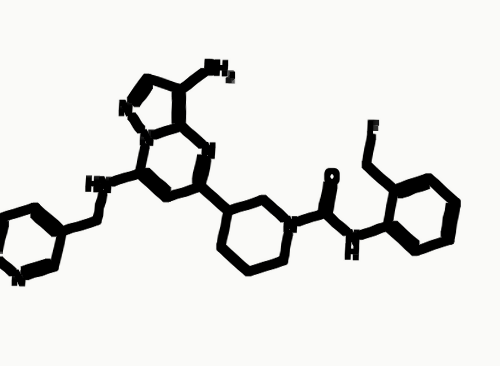 Bc1cnn2c(NCc3cccnc3)cc(C3CCCN(C(=O)Nc4ccccc4CF)C3)nc12